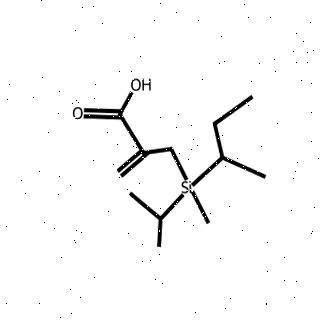 C=C(C[Si](C)(C(C)C)C(C)CC)C(=O)O